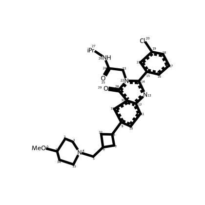 COC1CCN(CC2CC(c3ccc4nc(-c5cccc(Cl)c5)n(CC(=O)NC(C)C)c(=O)c4c3)C2)CC1